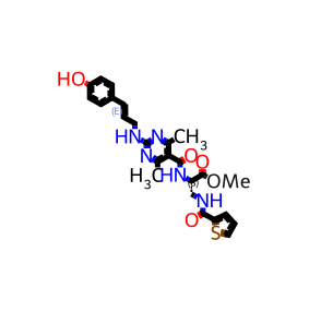 COC(=O)[C@H](CNC(=O)c1cccs1)NC(=O)c1c(C)nc(NC/C=C/c2ccc(O)cc2)nc1C